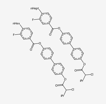 CCCCCCCc1ccc(C(=O)Oc2ccc(-c3ccc(OC(=O)C(Cl)C(C)C)cc3)cc2)cc1F.CCCCCCc1ccc(C(=O)Oc2ccc(-c3ccc(OC(=O)C(Cl)C(C)C)cc3)cc2)cc1F